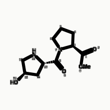 COC(=O)[C@@H]1CCCN1C(=O)[C@@H]1C[C@@H](O)CN1